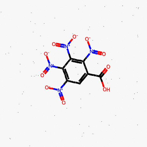 O=C(O)c1cc([N+](=O)[O-])c([N+](=O)[O-])c([N+](=O)[O-])c1[N+](=O)[O-]